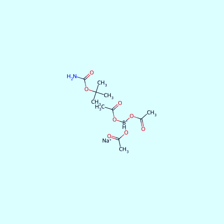 CC(=O)O[BH-](OC(C)=O)OC(C)=O.CC(C)(C)OC(N)=O.[Na+]